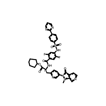 Cn1c2cnccc2c(=O)n1-c1ccc(C[C@H](NC(=O)c2cc(F)c(NS(=O)(=O)c3ccc(-c4ncccn4)cc3)cc2F)C(=O)OC2CCCCC2)nc1